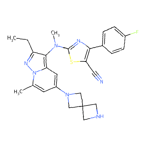 CCc1nn2c(C)cc(N3CC4(CNC4)C3)cc2c1N(C)c1nc(-c2ccc(F)cc2)c(C#N)s1